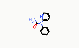 NC(=O)N(c1ccccc1)c1ccccn1